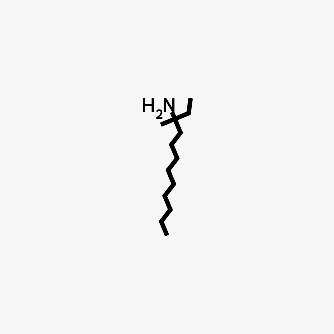 CCCCCCCCCC(C)(N)CC